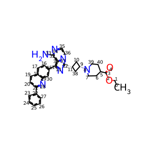 CCOC(=O)C1CCN([C@H]2C[C@@H](c3nc(-c4ccc5ccc(-c6ccccc6)nc5c4)c4c(N)nccn43)C2)CC1